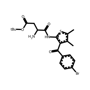 Cc1sc(NC(=O)C(N)CC(=O)OC(C)(C)C)c(C(=O)c2ccc(Br)cc2)c1C